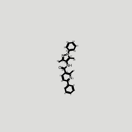 Cc1nc(-c2ccccc2)ccc1C(=O)Nc1c(C)nn(-c2ccccc2)c1C